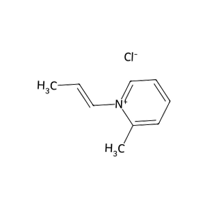 CC=C[n+]1ccccc1C.[Cl-]